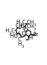 C=C(COC(=O)C(C)(C)C)[C@H](C)[C@@H](O)C[C@@H](C)[C@H]1CC[C@H]2/C(=C/Br)CCC[C@]12C